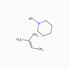 CC=C(C)C.CCCN1CCCCC1